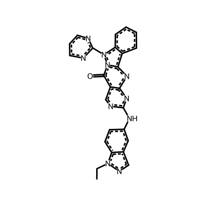 CCn1ncc2cc(Nc3ncc4c(=O)n5c(nc4n3)c3ccccc3n5-c3ncccn3)ccc21